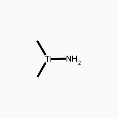 [CH3][Ti]([CH3])[NH2]